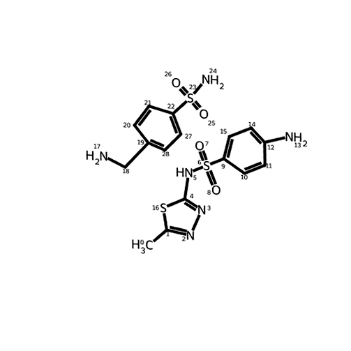 Cc1nnc(NS(=O)(=O)c2ccc(N)cc2)s1.NCc1ccc(S(N)(=O)=O)cc1